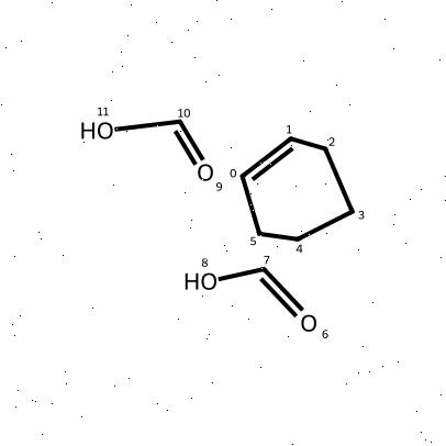 C1=CCCCC1.O=CO.O=CO